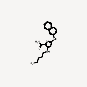 NCCCCNc1sc(Nc2ccc3ccccc3c2)nc1C(N)=O